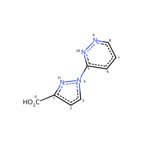 O=C(O)c1ccn(-c2cccnn2)n1